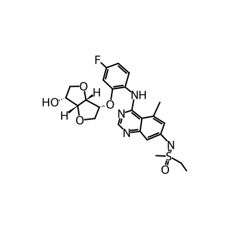 CCS(C)(=O)=Nc1cc(C)c2c(Nc3ccc(F)cc3O[C@@H]3CO[C@H]4[C@@H]3OC[C@H]4O)ncnc2c1